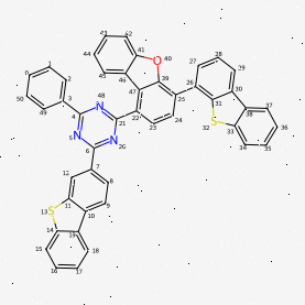 c1ccc(-c2nc(-c3ccc4c(c3)sc3ccccc34)nc(-c3ccc(-c4cccc5c4sc4ccccc45)c4oc5ccccc5c34)n2)cc1